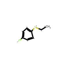 CCSc1ccc(F)cc1